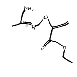 C=C(O/N=C(/C)N)C(=O)OCC